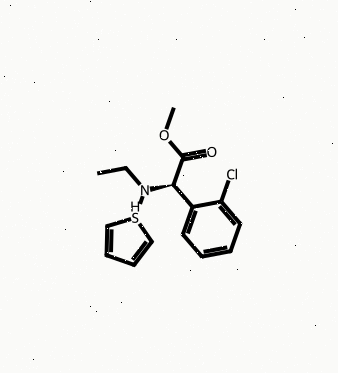 CCN([C@@H](C(=O)OC)c1ccccc1Cl)[SH]1C=CC=C1